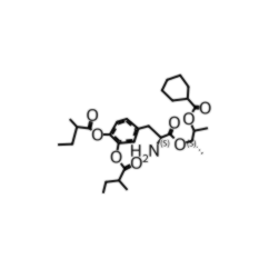 CCC(C)C(=O)Oc1ccc(C[C@H](N)C(=O)O[C@@H](C)C(C)OC(=O)C2CCCCC2)cc1OC(=O)C(C)CC